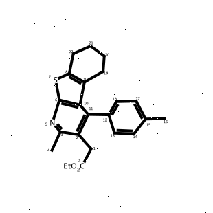 CCOC(=O)Cc1c(C)nc2sc3c(c2c1-c1ccc(C)cc1)CCCC3